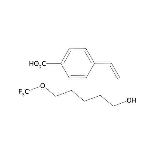 C=Cc1ccc(C(=O)O)cc1.OCCCCCOC(F)(F)F